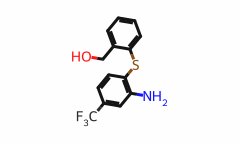 Nc1cc(C(F)(F)F)ccc1Sc1ccccc1CO